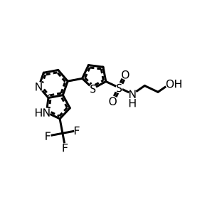 O=S(=O)(NCCO)c1ccc(-c2ccnc3[nH]c(C(F)(F)F)cc23)s1